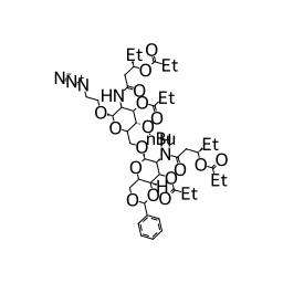 CCCCO[C@@H]1C(CO[C@@H]2OC3COC(c4ccccc4)O[C@H]3C(OC(=O)CC)[C@@H]2NC(=O)C[C@@H](CC)OC(=O)CC)O[C@@H](OCCN=[N+]=[N-])C(NC(=O)C[C@@H](CC)OC(=O)CC)C1OC(=O)CC